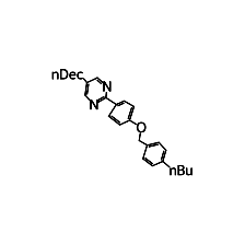 CCCCCCCCCCc1cnc(-c2ccc(OCc3ccc(CCCC)cc3)cc2)nc1